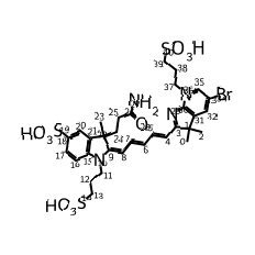 CC1(C)C(/C=C/C=C/C=C2/N(CCCS(=O)(=O)O)c3ccc(S(=O)(=O)O)cc3C2(C)CCC(N)=O)=Nc2c1cc(Br)c[n+]2CCCS(=O)(=O)O